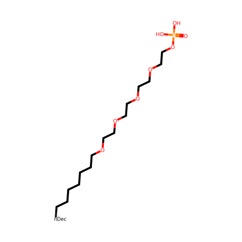 CCCCCCCCCCCCCCCCCOCCOCCOCCOCCOP(=O)(O)O